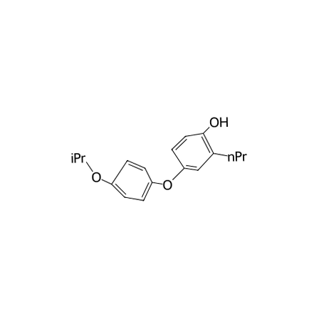 CCCc1cc(Oc2ccc(OC(C)C)cc2)ccc1O